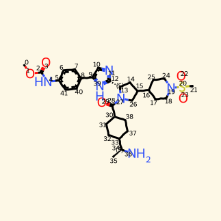 COC(=O)Nc1ccc(-c2cnc([C@@H]3CC(C4CCN(S(C)(=O)=O)CC4)CN3C(=O)C3CCC([C@H](C)N)CC3)[nH]2)cc1